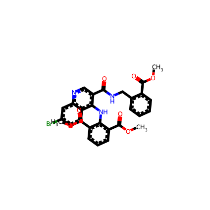 COC(=O)c1ccccc1CNC(=O)c1cnc2cc(Br)ccc2c1Nc1c(C(=O)OC)cccc1C(=O)OC